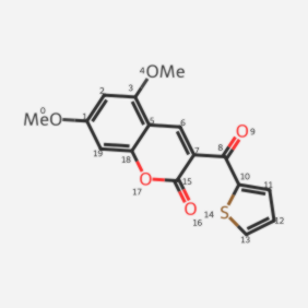 COc1cc(OC)c2cc(C(=O)c3cccs3)c(=O)oc2c1